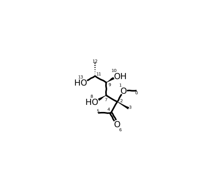 CO[C@](C)(C(C)=O)[C@@H](O)[C@H](O)[C@@H](C)O